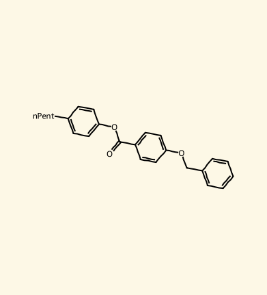 CCCCCc1ccc(OC(=O)c2ccc(OCc3ccccc3)cc2)cc1